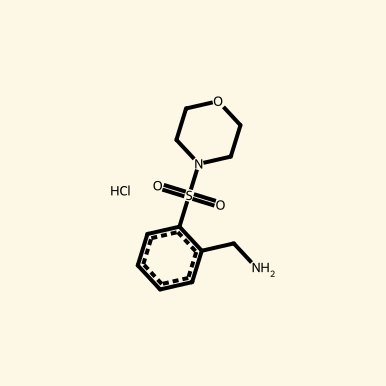 Cl.NCc1ccccc1S(=O)(=O)N1CCOCC1